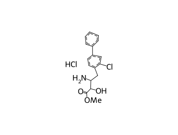 COC(=O)C(O)C(N)Cc1ccc(-c2ccccc2)cc1Cl.Cl